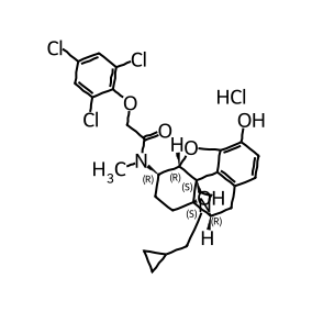 CN(C(=O)COc1c(Cl)cc(Cl)cc1Cl)[C@@H]1CC[C@@]2(O)[C@H]3Cc4ccc(O)c5c4[C@@]2(CCN3CC2CC2)[C@H]1O5.Cl